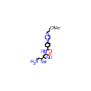 COCCCN1CCN(c2ccc(C(=O)Nc3cc(C(=N)/C=C\N)c[nH]c3=O)cc2)CC1